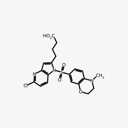 CN1CCOc2cc(S(=O)(=O)n3c(CCCC(=O)O)cc4nc(Cl)ccc43)ccc21